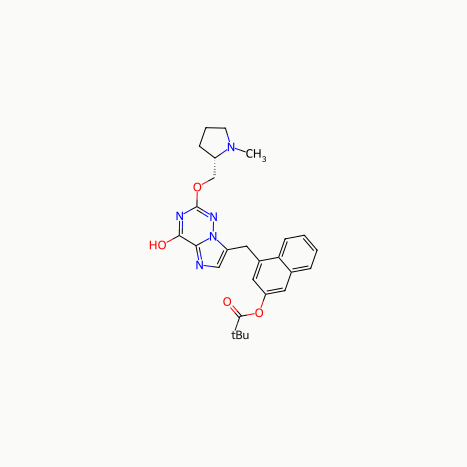 CN1CCC[C@H]1COc1nc(O)c2ncc(Cc3cc(OC(=O)C(C)(C)C)cc4ccccc34)n2n1